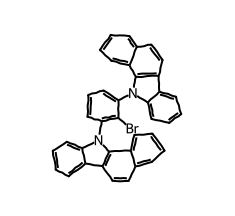 Brc1c(-n2c3ccccc3c3ccc4ccccc4c32)cccc1-n1c2ccccc2c2ccc3ccccc3c21